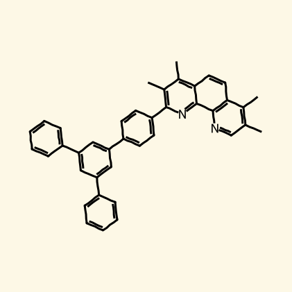 Cc1cnc2c(ccc3c(C)c(C)c(-c4ccc(-c5cc(-c6ccccc6)cc(-c6ccccc6)c5)cc4)nc32)c1C